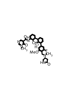 COc1cc(-c2cccc(-c3cccc(NC(=O)c4cncn(C)c4=O)c3C)c2C)cc(F)c1CN(C)[C@@H]1CNC(=O)C1